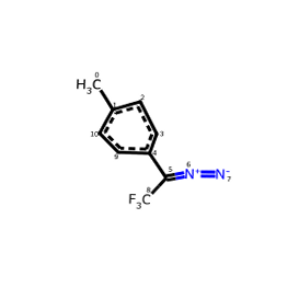 Cc1ccc(C(=[N+]=[N-])C(F)(F)F)cc1